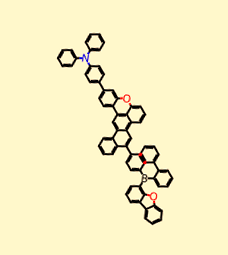 c1ccc(-c2ccccc2B(c2ccc(-c3cc4c5cccc6c5c(cc4c4ccccc34)-c3ccc(-c4ccc(N(c5ccccc5)c5ccccc5)cc4)cc3O6)cc2)c2cccc3c2oc2ccccc23)cc1